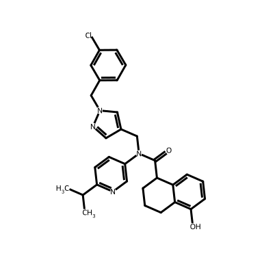 CC(C)c1ccc(N(Cc2cnn(Cc3cccc(Cl)c3)c2)C(=O)C2CCCc3c(O)cccc32)cn1